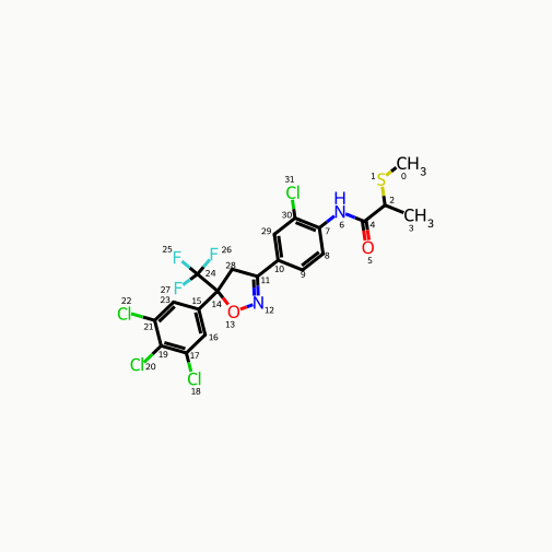 CSC(C)C(=O)Nc1ccc(C2=NOC(c3cc(Cl)c(Cl)c(Cl)c3)(C(F)(F)F)C2)cc1Cl